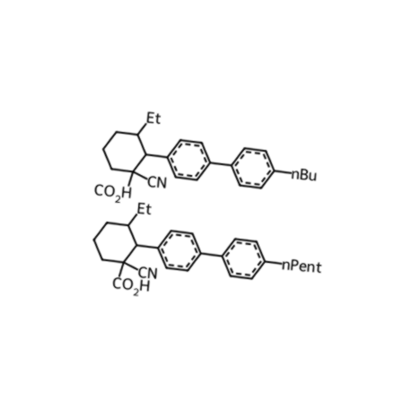 CCCCCc1ccc(-c2ccc(C3C(CC)CCCC3(C#N)C(=O)O)cc2)cc1.CCCCc1ccc(-c2ccc(C3C(CC)CCCC3(C#N)C(=O)O)cc2)cc1